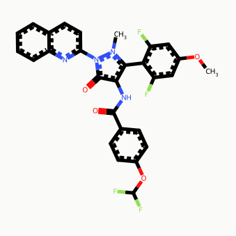 COc1cc(F)c(-c2c(NC(=O)c3ccc(OC(F)F)cc3)c(=O)n(-c3ccc4ccccc4n3)n2C)c(F)c1